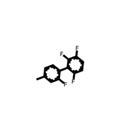 Cc1ccc(-c2c(F)ccc(F)c2F)c(F)c1